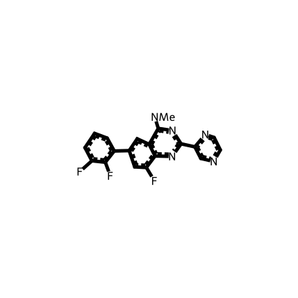 CNc1nc(-c2cnccn2)nc2c(F)cc(-c3cccc(F)c3F)cc12